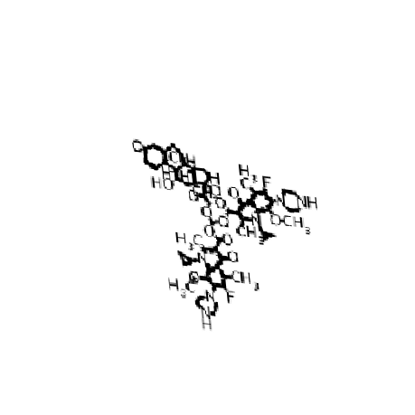 COc1c(N2CCNCC2)c(F)c(C)c2c(=O)c(C(=O)OC(OCC(=O)[C@@]3(O)CC[C@H]4[C@@H]5CCC6=CC(=O)C=C[C@]6(C)[C@H]5[C@@H](O)C[C@@]43C)OC(=O)c3c(C)n(C4CC4)c4c(OC)c(N5CCNCC5)c(F)c(C)c4c3=O)c(C)n(C3CC3)c12